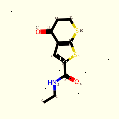 CCNC(=O)c1cc2c(s1)SCCC2=O